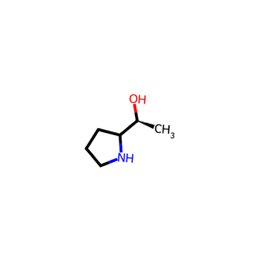 C[C@H](O)C1CCCN1